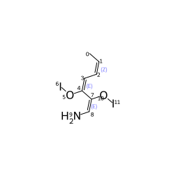 C\C=C/C=C(OI)\C(=C/N)OI